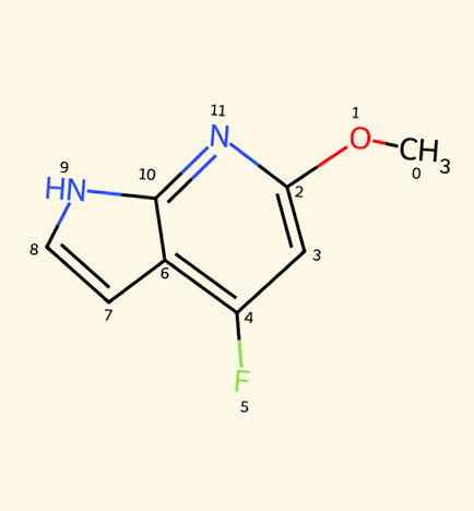 COc1cc(F)c2cc[nH]c2n1